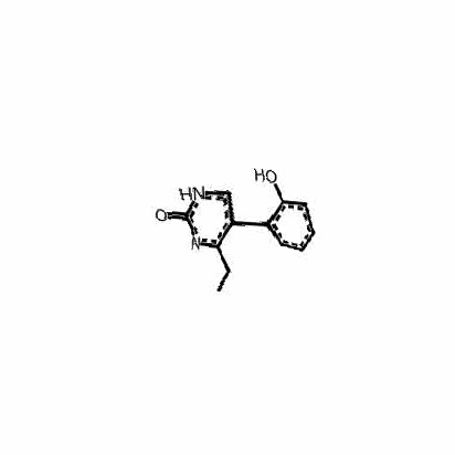 CCc1nc(=O)[nH]cc1-c1ccccc1O